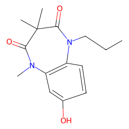 CCCN1C(=O)C(C)(C)C(=O)N(C)c2cc(O)ccc21